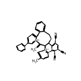 C=C1C2C(CCc3ccccc3-c3ccc(-c4ccccc4)c[n+]31)c1c(C#N)cc(C#N)c(C#N)c1-c1ccc(C)c[n+]12